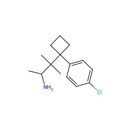 CC(N)C(C)(C)C1(c2ccc(Cl)cc2)CCC1